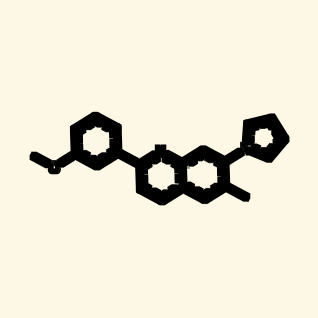 COc1cccc(-c2ccc3cc(C)c(-n4cccc4)cc3n2)c1